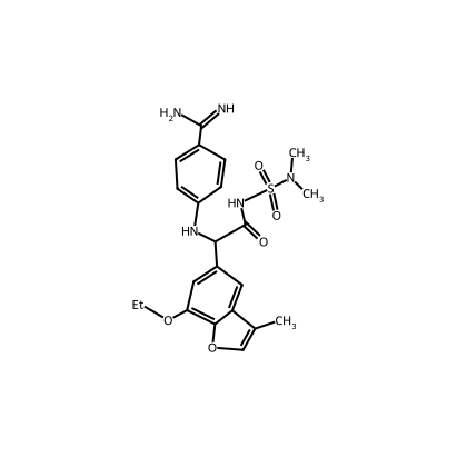 CCOc1cc(C(Nc2ccc(C(=N)N)cc2)C(=O)NS(=O)(=O)N(C)C)cc2c(C)coc12